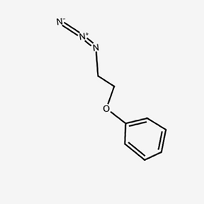 [N-]=[N+]=NCCOc1ccccc1